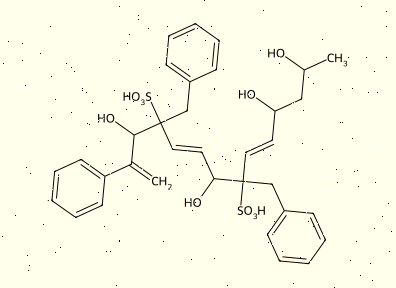 C=C(c1cc[c]cc1)C(O)C(C=CC(O)C(C=CC(O)CC(C)O)(Cc1ccccc1)S(=O)(=O)O)(Cc1ccccc1)S(=O)(=O)O